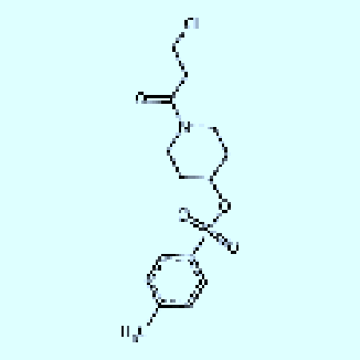 Cc1ccc(S(=O)(=O)OC2CCN(C(=O)CCCl)CC2)cc1